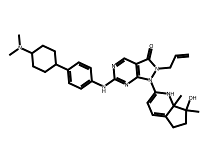 C=CCn1c(=O)c2cnc(Nc3ccc(C4CCC(N(C)C)CC4)cc3)nc2n1C1=CC=C2CCC(C)(O)C2(C)N1